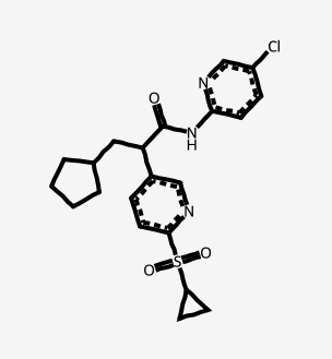 O=C(Nc1ccc(Cl)cn1)C(CC1CCCC1)c1ccc(S(=O)(=O)C2CC2)nc1